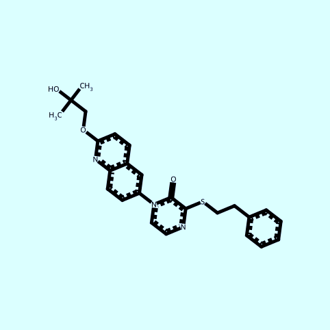 CC(C)(O)COc1ccc2cc(-n3ccnc(SCCc4ccccc4)c3=O)ccc2n1